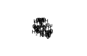 CCC(C)CN(CCN(CCN(CCN)CCN)CCN(CCNS(C)(=O)=O)CCNS(C)(=O)=O)CCN(CCN(CCNS(C)(=O)=O)CCNS(C)(=O)=O)CCN(CCNS(C)(=O)=O)CCNS(C)(=O)=O